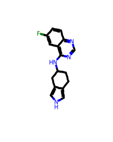 Fc1ccc2ncnc(NC3CCc4c[nH]cc4C3)c2c1